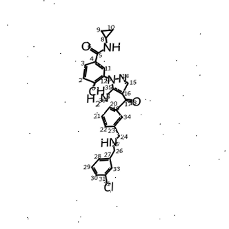 Cc1ccc(C(=O)NC2CC2)cc1-n1ncc(C(=O)c2cccc(CNCc3cccc(Cl)c3)c2)c1N